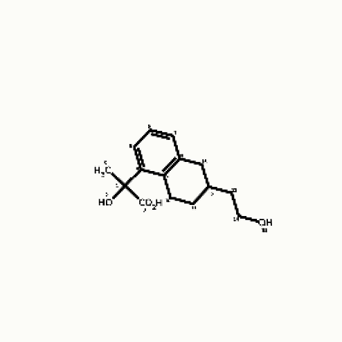 CC(O)(C(=O)O)c1cccc2c1CCC(CCO)C2